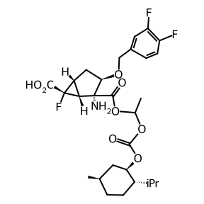 CC(OC(=O)O[C@@H]1C[C@H](C)CC[C@H]1C(C)C)OC(=O)[C@@]1(N)[C@H]2[C@@H](C[C@H]1OCc1ccc(F)c(F)c1)[C@]2(F)C(=O)O